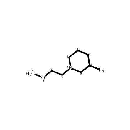 COCCN1CCC[C](I)C1